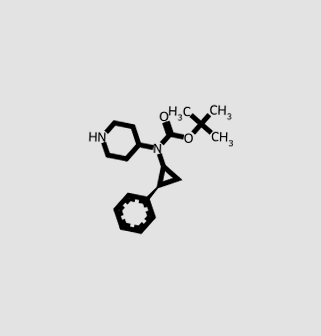 CC(C)(C)OC(=O)N(C1CCNCC1)C1C[C@H]1c1ccccc1